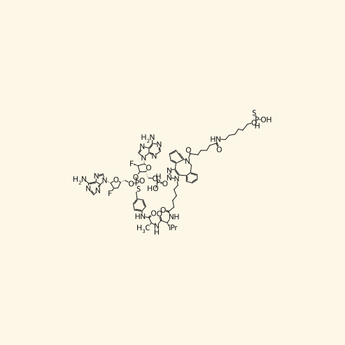 CC(C)[C@H](NC(=O)CCCCCn1nnc2c1-c1ccccc1CN(C(=O)CCCCC(=O)NCCCCCCO[PH](O)=S)c1ccccc1-2)C(=O)N[C@@H](C)C(=O)Nc1ccc(CSP(=O)(OC[C@@H]2C[C@@H](F)[C@H](n3cnc4c(N)ncnc43)O2)O[C@H]2[C@@H](F)[C@H](n3cnc4c(N)ncnc43)O[C@@H]2CO[PH](=O)O)cc1